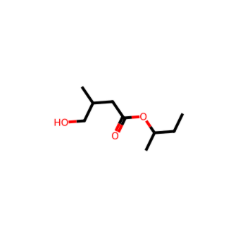 CCC(C)OC(=O)CC(C)CO